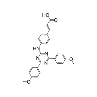 COc1ccc(-c2nc(Nc3ccc(/C=C/C(=O)O)cc3)nc(-c3ccc(OC)cc3)n2)cc1